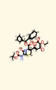 CCOC1C(=O)C=C(C2=C(C(=O)OC(c3ccccc3)c3ccccc3)N3C(=O)C(NC(=O)OC(C)(C)C)C3SC2)OC1=O